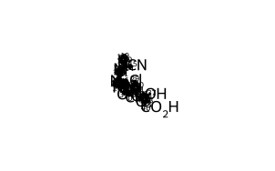 CN(C(=O)n1ccc2c(-c3cnn([C@H](CC#N)C4CCCC4)c3)ncnc21)c1cc(Cl)ccc1O[C@H]1C[C@@H](O)C[C@@H](C(=O)O)O1